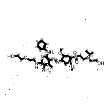 COc1cc(S(=O)(=O)CCN(CCO)C(C)C)c(OC)cc1/N=N/c1c(Nc2ccccc2)nc(NCCOCCO)c(N)c1C